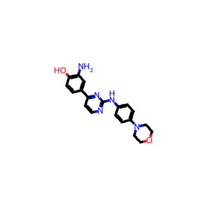 Nc1cc(-c2ccnc(Nc3ccc(N4CCOCC4)cc3)n2)ccc1O